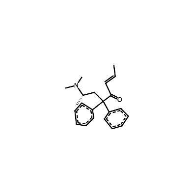 C/C=C/C(=O)C(C[C@H](C)N(C)C)(c1ccccc1)c1ccccc1